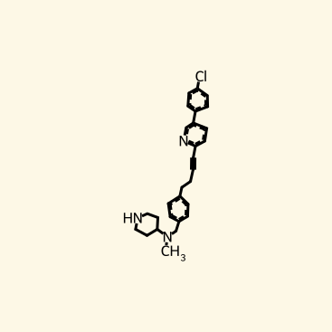 CN(Cc1ccc(CCC#Cc2ccc(-c3ccc(Cl)cc3)cn2)cc1)C1CCNCC1